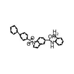 Nc1ccccc1NC(O)c1ccc2c(ccn2S(=O)(=O)c2ccc(-c3ccccc3)cc2)c1